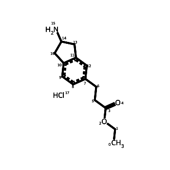 CCOC(=O)CCc1ccc2c(c1)CC(N)C2.Cl